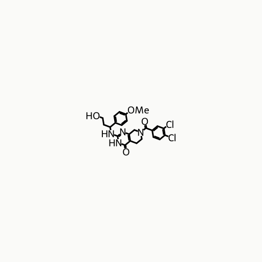 COc1ccc(C(CCO)Nc2nc3c(c(=O)[nH]2)CCN(C(=O)c2ccc(Cl)c(Cl)c2)C3)cc1